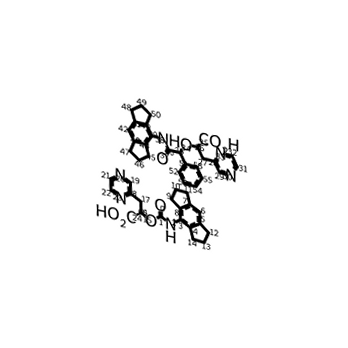 O=C(Nc1c2c(cc3c1CCC3)CCC2)O[C@H](Cc1cnccn1)C(=O)O.O=C(O)C(Cc1cnccn1)OC(C(=O)Nc1c2c(cc3c1CCC3)CCC2)c1ccccc1